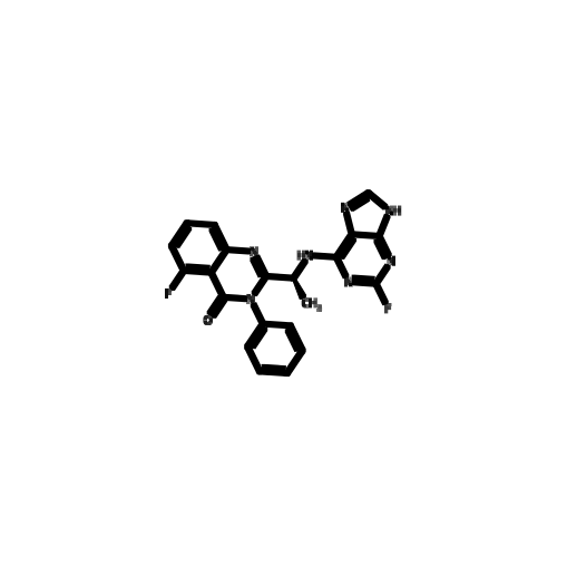 C[C@H](Nc1nc(F)nc2[nH]cnc12)c1nc2cccc(F)c2c(=O)n1-c1ccccc1